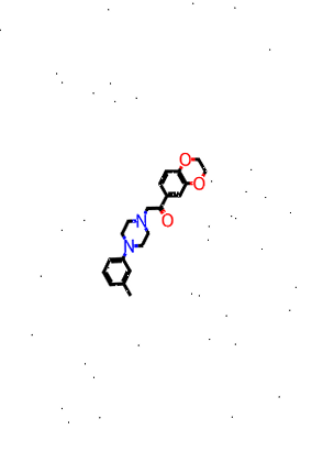 Cc1cccc(N2CCN(CC(=O)c3ccc4c(c3)OCCO4)CC2)c1